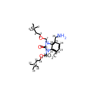 C[Si](C)(C)CCOCn1c(=O)n(COCC[Si](C)(C)C)c2c(C(=O)O)ccc(CN)c21